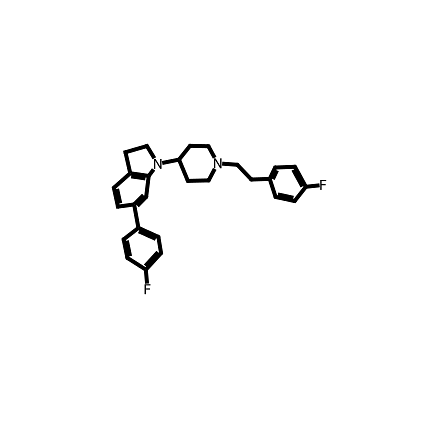 Fc1ccc(CCN2CCC(N3CCc4ccc(-c5ccc(F)cc5)cc43)CC2)cc1